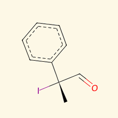 C[C@](I)(C=O)c1ccccc1